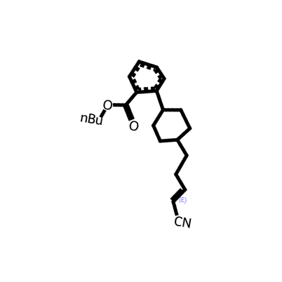 CCCCOC(=O)c1ccccc1C1CCC(CC/C=C/C#N)CC1